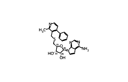 Cc1nccc(-c2ccccc2)c1CSC[C@H]1O[C@@H](n2ccc3c(N)ncnc32)[C@H](O)[C@@H]1O